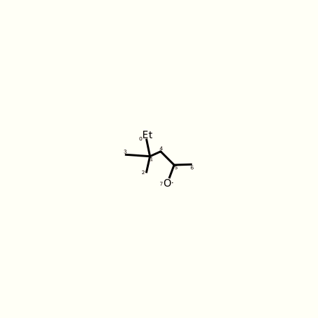 CCC(C)(C)CC(C)[O]